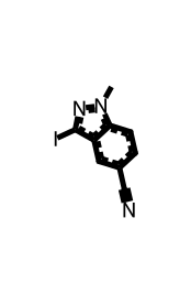 Cn1nc(I)c2cc(C#N)ccc21